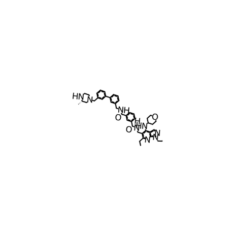 CCc1nc2c(cnn2CC)c(NC2CCOCC2)c1CNC(=O)c1cccc(C(=O)NCc2cccc(-c3cccc(CN4CCN[C@@H](C)C4)c3)c2)c1